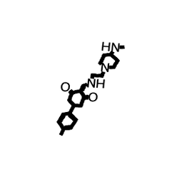 CNC1CCN(CCNC=C2C(=O)CC(c3ccc(C)cc3)CC2=O)CC1